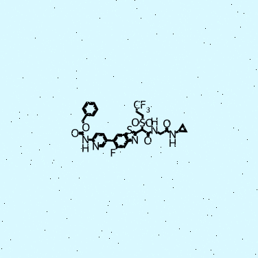 O=C(CNC(=O)C(c1nc2cc(F)c(-c3ccc(NC(=O)OCc4ccccc4)nc3)cc2s1)S(=O)(=O)CCC(F)(F)F)NC1CC1